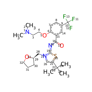 CN(C)CCOc1ccc(C(F)(F)F)cc1C(=O)N=c1sc(C(C)(C)C)cn1C[C@H]1CCCO1